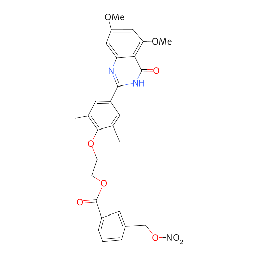 COc1cc(OC)c2c(=O)[nH]c(-c3cc(C)c(OCCOC(=O)c4cccc(CO[N+](=O)[O-])c4)c(C)c3)nc2c1